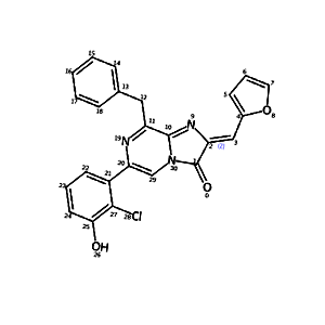 O=C1/C(=C/c2ccco2)N=C2C(Cc3ccccc3)=NC(c3cccc(O)c3Cl)=CN12